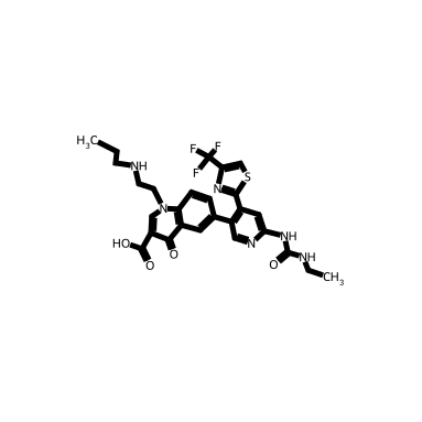 CCCNCCn1cc(C(=O)O)c(=O)c2cc(-c3cnc(NC(=O)NCC)cc3-c3nc(C(F)(F)F)cs3)ccc21